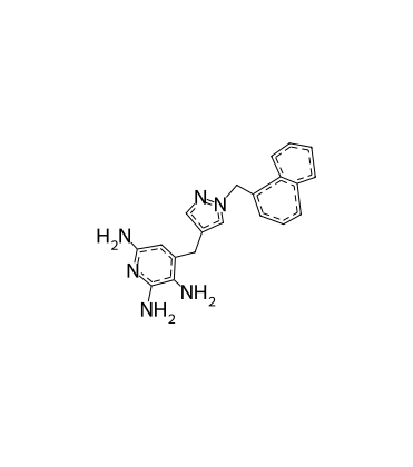 Nc1cc(Cc2cnn(Cc3cccc4ccccc34)c2)c(N)c(N)n1